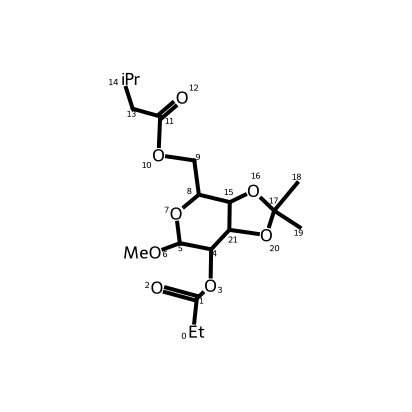 CCC(=O)OC1C(OC)OC(COC(=O)CC(C)C)C2OC(C)(C)OC21